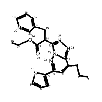 CCCc1cc(-c2cccs2)nn2c(C(Cc3cccnc3)C(=O)OCC)nnc12